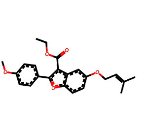 CCOC(=O)c1c(-c2ccc(OC)cc2)oc2ccc(OCC=C(C)C)cc12